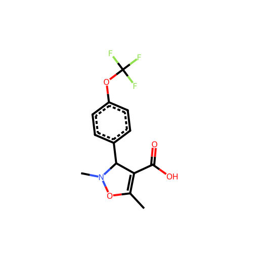 CC1=C(C(=O)O)C(c2ccc(OC(F)(F)F)cc2)N(C)O1